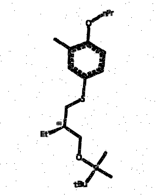 CCCOc1ccc(SC[C@H](CC)CO[Si](C)(C)C(C)(C)C)cc1C